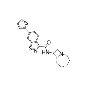 O=C(N[C@H]1CN2CCCCCC12)c1nsc2cc(-c3cccs3)ccc12